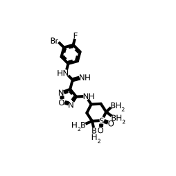 BC1(B)CC(Nc2nonc2C(=N)Nc2ccc(F)c(Br)c2)CC(B)(B)S1(=O)=O